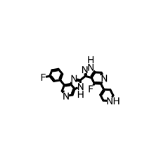 Fc1cccc(-c2cncc3[nH]c(-c4n[nH]c5cnc(C6=CCNCC6)c(F)c45)nc23)c1